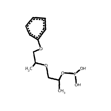 CC(COc1ccccc1)OCC(C)OP(O)O